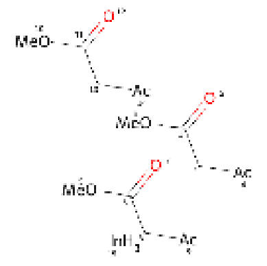 COC(=O)CC(C)=O.COC(=O)CC(C)=O.COC(=O)CC(C)=O.[InH3]